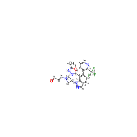 Cc1nnc(-c2c(-c3cccnc3C(F)(F)F)ccc3cnn(C4CN(C=CC=O)C4)c23)o1